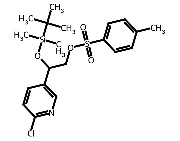 Cc1ccc(S(=O)(=O)OCC(O[Si](C)(C)C(C)(C)C)c2ccc(Cl)nc2)cc1